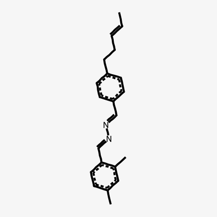 CC=CCCc1ccc(C=NN=Cc2ccc(C)cc2C)cc1